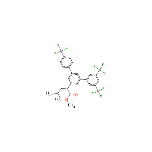 COC(=O)C(CC(C)C)c1cc(-c2ccc(C(F)(F)F)cc2)cc(-c2cc(C(F)(F)F)cc(C(F)(F)F)c2)c1